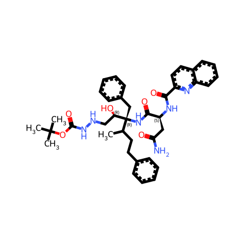 CC(CCc1ccccc1)[C@@](Cc1ccccc1)(NC(=O)[C@H](CC(N)=O)NC(=O)c1ccc2ccccc2n1)[C@H](O)CNNC(=O)OC(C)(C)C